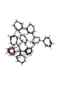 c1ccc(-c2nc(-c3ccccc3)nc(-c3cccc(-c4ccccc4-c4ccc5c(c4)C(c4ccccc4)(c4ccccc4)C(c4ccccc4)(c4ccccc4)c4ccccc4-5)c3)n2)cc1